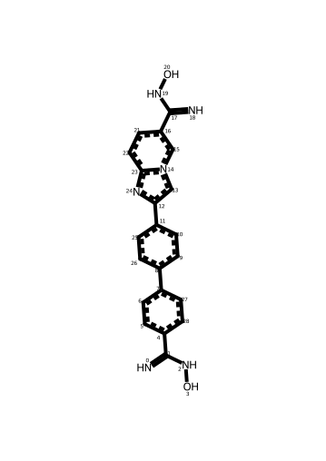 N=C(NO)c1ccc(-c2ccc(-c3cn4cc(C(=N)NO)ccc4n3)cc2)cc1